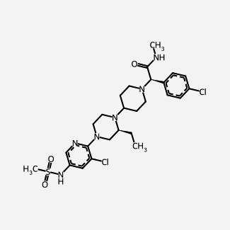 CC[C@H]1CN(c2ncc(NS(C)(=O)=O)cc2Cl)CCN1C1CCN([C@@H](C(=O)NC)c2ccc(Cl)cc2)CC1